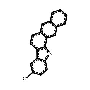 Clc1ccc2sc3c4cc5ccccc5cc4ccc3c2c1